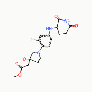 COC(=O)CC1(O)CCN(c2ccc(NC3CCC(=O)NC3=O)cc2F)C1